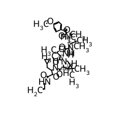 C=CCNC(=O)C(=O)C(CC1CC1)NC(=O)[C@@H]1[C@@H]2[C@H](CN1C(=O)[C@@H](NC(=O)N[C@H](CN(C)S(=O)(=O)c1ccc(OC)cc1)C(C)(C)C)C(C)(C)C)C2(C)C